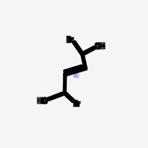 OC(Br)/C=C/C(O)Br